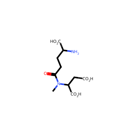 CN(C(=O)CCC(N)C(=O)O)C(CC(=O)O)C(=O)O